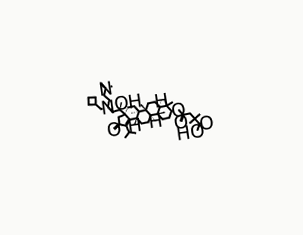 CC(C)C1=C2[C@H]3CC[C@@H]4[C@@]5(C)CC[C@H](OC(=O)CC(C)(C)C(=O)O)C(C)(C)[C@@H]5CC[C@@]4(C)[C@]3(C)CC[C@@]2([C@H](O)CN(CCN(C)C)CC2CCC2)CC1=O